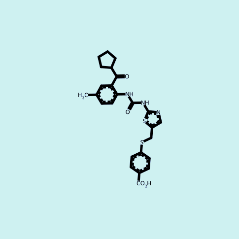 Cc1ccc(NC(=O)Nc2ncc(CSc3ccc(C(=O)O)cc3)s2)c(C(=O)C2CCCC2)c1